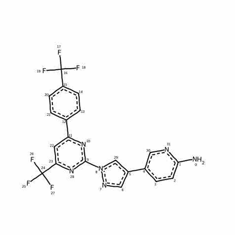 Nc1ccc(-c2cnn(-c3nc(-c4ccc(C(F)(F)F)cc4)cc(C(F)(F)F)n3)c2)cn1